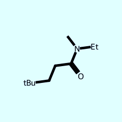 CCN(C)C(=O)CCC(C)(C)C